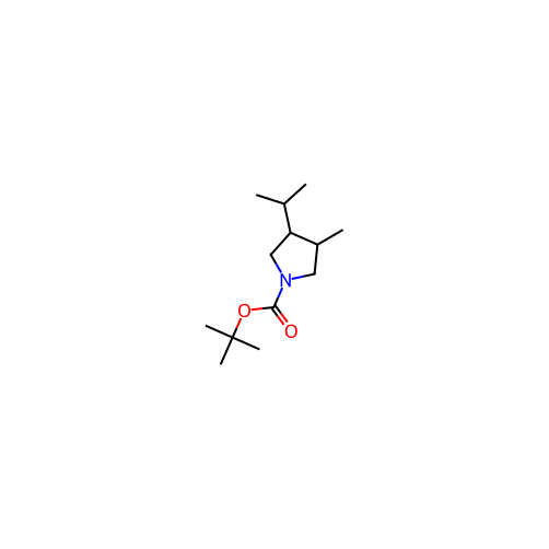 CC(C)C1CN(C(=O)OC(C)(C)C)CC1C